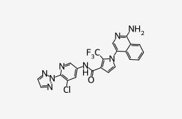 Nc1ncc(-n2ccc(C(=O)Nc3cnc(-n4nccn4)c(Cl)c3)c2C(F)(F)F)c2ccccc12